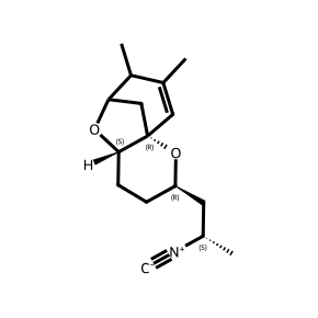 [C-]#[N+][C@@H](C)C[C@H]1CC[C@@H]2OC3C[C@]2(C=C(C)C3C)O1